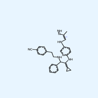 C/C(=C/Nc1ccc(NC(=C2CC2)C(NCCc2ccc(C#N)cc2)c2ccccc2)nc1)N=N